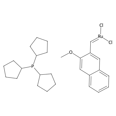 C1CCC(P(C2CCCC2)C2CCCC2)C1.COc1cc2ccccc2cc1[CH]=[Ru]([Cl])[Cl]